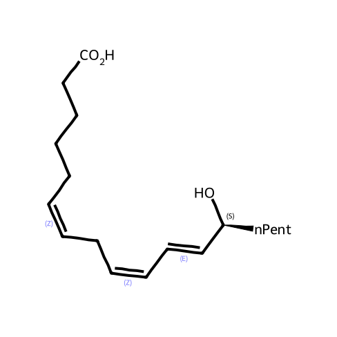 CCCCC[C@H](O)/C=C/C=C\C/C=C\CCCCC(=O)O